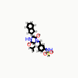 CC(C)C[C@@H]1C(=O)N[C@H](C2Cc3ccccc3C2)C(=O)N1Cc1cccc(NS(C)(=O)=O)c1